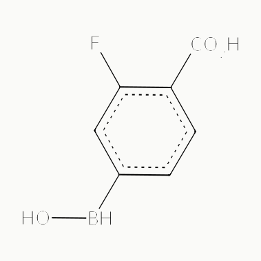 O=C(O)c1ccc(BO)cc1F